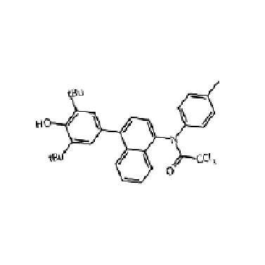 Cc1ccc(N(C(=O)C(Cl)(Cl)Cl)c2ccc(-c3cc(C(C)(C)C)c(O)c(C(C)(C)C)c3)c3ccccc23)cc1